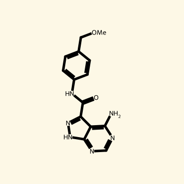 COCc1ccc(NC(=O)c2n[nH]c3ncnc(N)c23)cc1